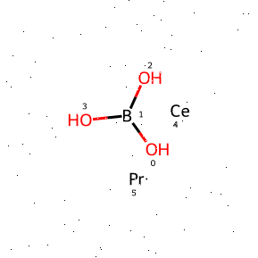 OB(O)O.[Ce].[Pr]